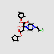 O=C(CC(O)(C(=O)OC1CCCC1)N1CCN(CCCl)CC1)OC1CCCC1